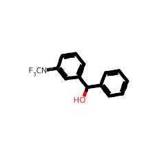 OC(c1ccccc1)c1cccc(NC(F)(F)F)c1